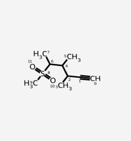 C#CC(C)C(C)C(C)S(C)(=O)=O